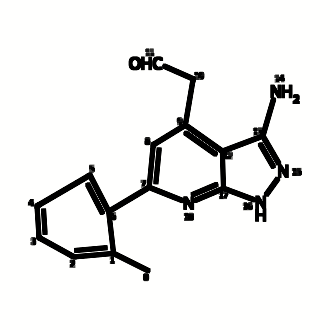 Cc1ccccc1-c1cc(CC=O)c2c(N)n[nH]c2n1